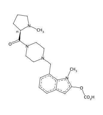 CN1CCC[C@@H]1C(=O)N1CCN(Cc2cccc3cc(OC(=O)O)n(C)c23)CC1